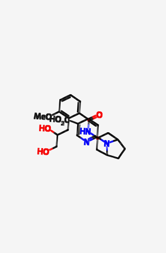 COc1cccc(C(=O)NC2CC3CCC(C2)N3c2ccc(C(=O)O)cn2)c1CC(O)CO